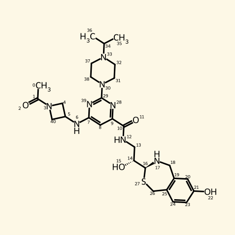 CC(=O)N1CC(Nc2cc(C(=O)NC[C@@H](O)[C@H]3NCc4cc(O)ccc4CS3)nc(N3CCN(C(C)C)CC3)n2)C1